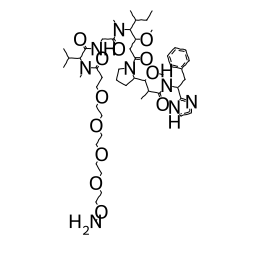 CCC(C)C(C(CC(=O)N1CCCC1C(OC)C(C)C(=O)NC(Cc1ccccc1)c1ncc[nH]1)OC)N(C)C(=O)CNC(=O)C(C(C)C)N(C)C(=O)CCOCCOCCOCCOCCON